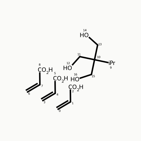 C=CC(=O)O.C=CC(=O)O.C=CC(=O)O.CC(C)C(CO)(CO)CO